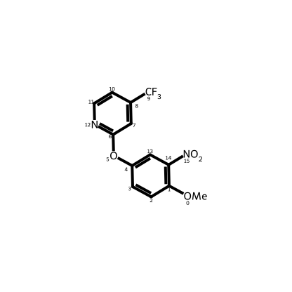 COc1ccc(Oc2cc(C(F)(F)F)ccn2)cc1[N+](=O)[O-]